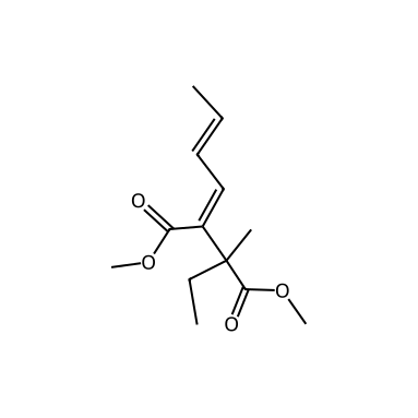 CC=CC=C(C(=O)OC)C(C)(CC)C(=O)OC